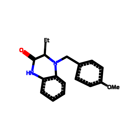 CCC1C(=O)Nc2ccccc2N1Cc1ccc(OC)cc1